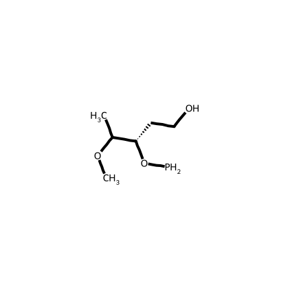 COC(C)[C@H](CCO)OP